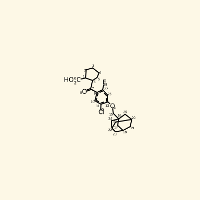 O=C(O)C1CCCCC1C(=O)c1cc(Cl)c(OCC23CC4CC(CC(C4)C2)C3)cc1F